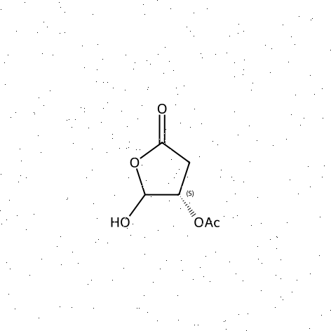 CC(=O)O[C@H]1CC(=O)OC1O